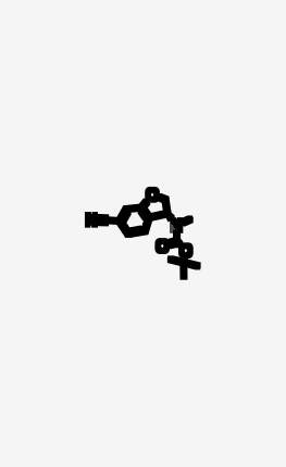 CN(C(=O)OC(C)(C)C)[C@@H]1COc2cc(C#N)ccc21